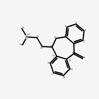 C=C1c2ccccc2CC(CCN(C)C)c2ccccc21